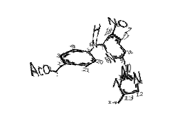 CC(=O)OCc1ccc(Nc2nc(-n3ncc(C)n3)ccc2[N+](=O)[O-])cc1